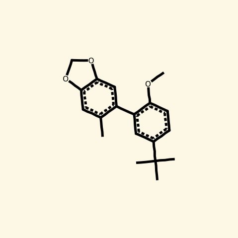 COc1ccc(C(C)(C)C)cc1-c1cc2c(cc1C)OCO2